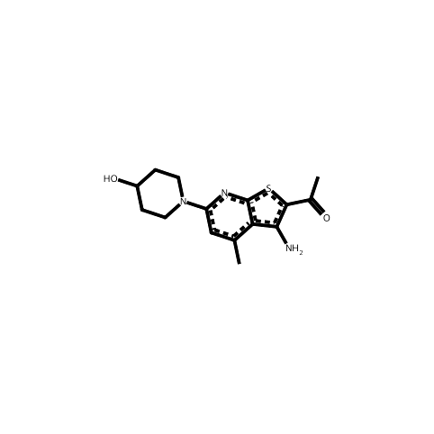 CC(=O)c1sc2nc(N3CCC(O)CC3)cc(C)c2c1N